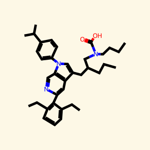 CCCCN(CC(CCC)Cc1cn(-c2ccc(C(C)C)cc2)c2cnc(-c3c(CC)cccc3CC)cc12)C(=O)O